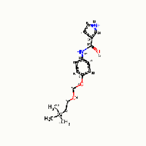 C[Si](C)(C)CCOCOc1ccc(NC(=O)c2cc[nH]c2)cc1